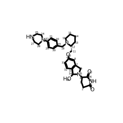 O=C1CCC(N2Cc3cc(OC[C@H]4CCCCN4Cc4ccc(N5CCNCC5)cc4)ccc3C2O)C(=O)N1